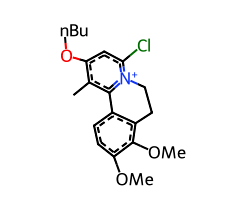 CCCCOc1cc(Cl)[n+]2c(c1C)-c1ccc(OC)c(OC)c1CC2